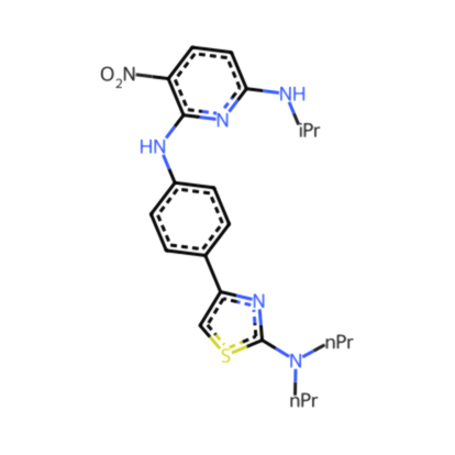 CCCN(CCC)c1nc(-c2ccc(Nc3nc(NC(C)C)ccc3[N+](=O)[O-])cc2)cs1